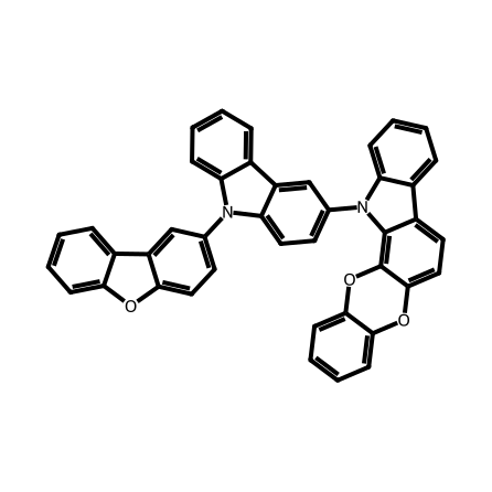 c1ccc2c(c1)Oc1ccc3c4ccccc4n(-c4ccc5c(c4)c4ccccc4n5-c4ccc5oc6ccccc6c5c4)c3c1O2